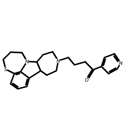 O=C(CCCN1CCC2c3cccc4c3N(CCCS4)C2CC1)c1ccncc1